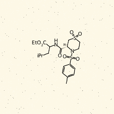 CCOC(=O)C(CC(C)C)NC(=O)[C@@H]1CS(=O)(=O)CCN1S(=O)(=O)c1ccc(C)cc1